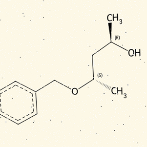 C[C@@H](O)C[C@H](C)OCc1ccccc1